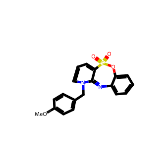 COc1ccc(CN2C=CC=C3C2=Nc2ccccc2OS3(=O)=O)cc1